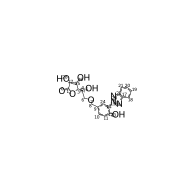 O=C1OC([C@H](O)COCc2ccc(O)c(-n3nc4ccccc4n3)c2)C(O)=C1O